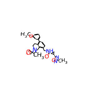 COc1cccc(-c2ccc(CNC(=O)[C@@H]3C[C@H]3c3nc(C)no3)c3c2CCN(C2(C)COC2)C3)c1